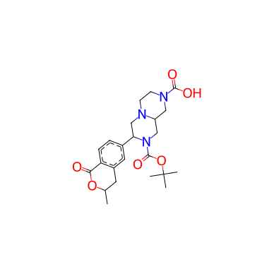 CC1Cc2cc(C3CN4CCN(C(=O)O)CC4CN3C(=O)OC(C)(C)C)ccc2C(=O)O1